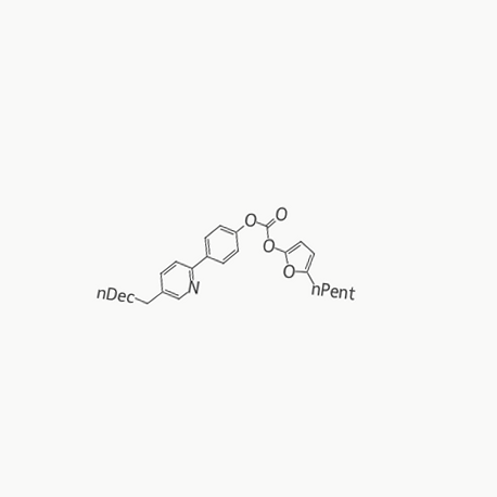 CCCCCCCCCCCc1ccc(-c2ccc(OC(=O)Oc3ccc(CCCCC)o3)cc2)nc1